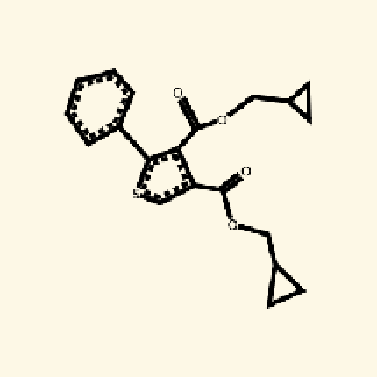 O=C(OCC1CC1)c1csc(-c2ccccc2)c1C(=O)OCC1CC1